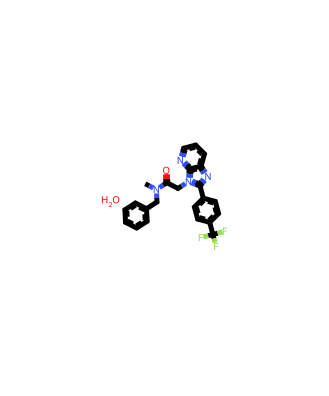 CN(Cc1ccccc1)C(=O)Cn1c(-c2ccc(C(F)(F)F)cc2)nc2cccnc21.O